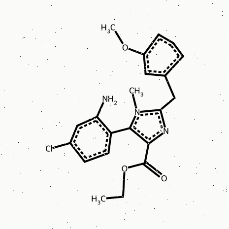 CCOC(=O)c1nc(Cc2cccc(OC)c2)n(C)c1-c1ccc(Cl)cc1N